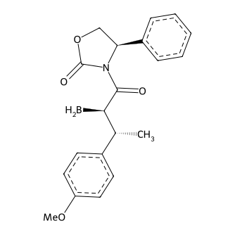 B[C@@H](C(=O)N1C(=O)OC[C@H]1c1ccccc1)[C@H](C)c1ccc(OC)cc1